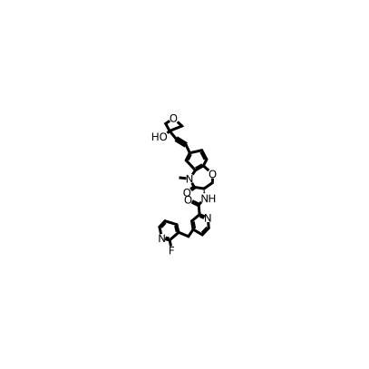 CN1C(=O)[C@@H](NC(=O)c2cc(Cc3cccnc3F)ccn2)COc2ccc(C#CC3(O)COC3)cc21